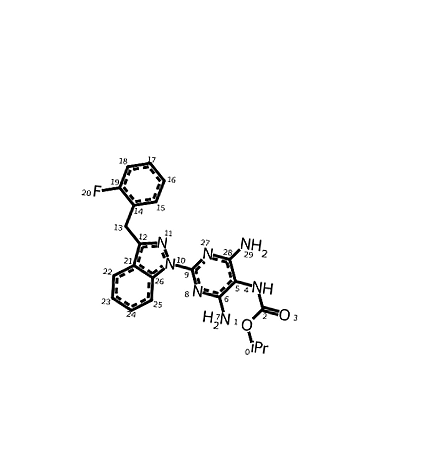 CC(C)OC(=O)Nc1c(N)nc(-n2nc(Cc3ccccc3F)c3ccccc32)nc1N